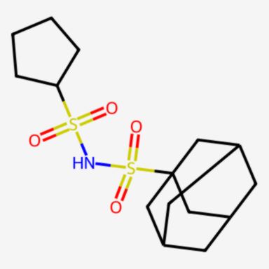 O=S(=O)(NS(=O)(=O)C12CC3CC(CC(C3)C1)C2)C1CCCC1